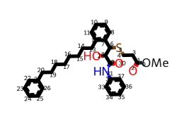 COC(=O)CCSC(c1ccccc1CCCCCCCCc1ccccc1)C(O)C(=O)Nc1ccccc1